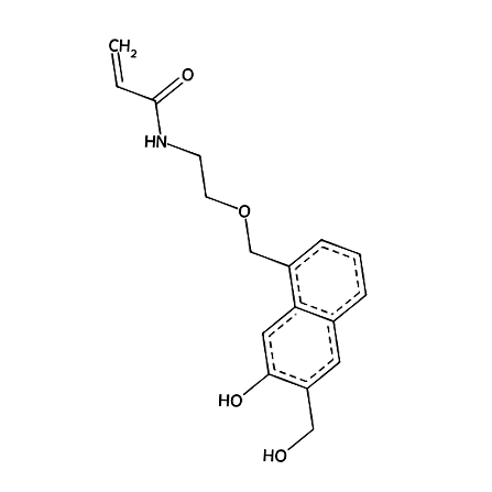 C=CC(=O)NCCOCc1cccc2cc(CO)c(O)cc12